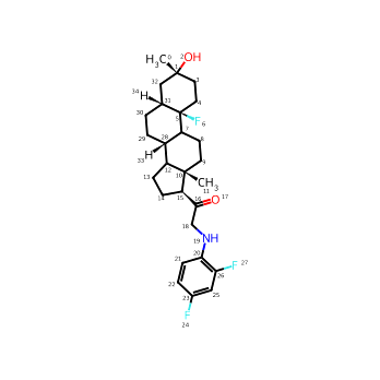 C[C@@]1(O)CC[C@]2(F)C3CC[C@@]4(C)C(CC[C@@H]4C(=O)CNc4ccc(F)cc4F)[C@@H]3CC[C@@H]2C1